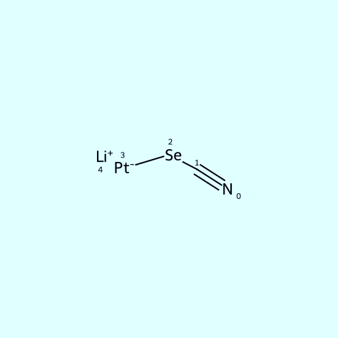 N#C[Se][Pt-].[Li+]